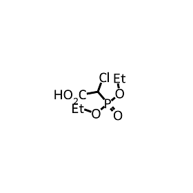 CCOP(=O)(OCC)C(Cl)C(=O)O